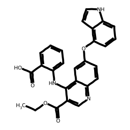 CCOC(=O)c1cnc2ccc(Oc3cccc4[nH]ccc34)cc2c1Nc1ccccc1C(=O)O